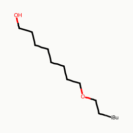 CCC(C)CCOCCCCCCCCO